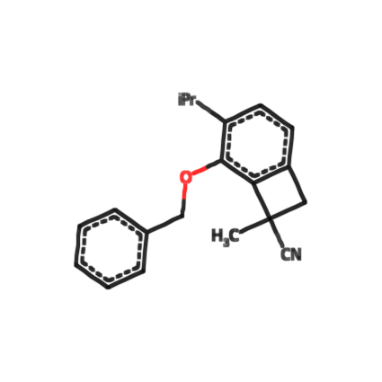 CC(C)c1ccc2c(c1OCc1ccccc1)C(C)(C#N)C2